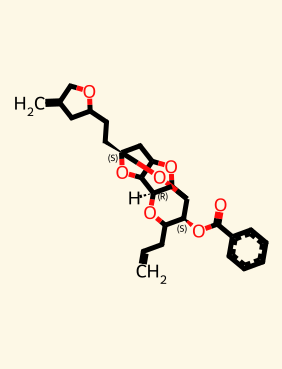 C=CCC1O[C@H]2C3O[C@]4(CCC5CC(=C)CO5)CC3OC2C(O4)[C@H]1OC(=O)c1ccccc1